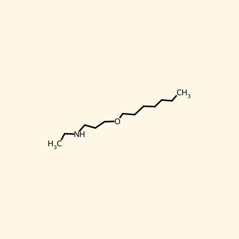 CCCCCCCOCCCNCC